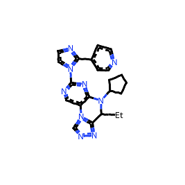 CCC1c2nncn2-c2cnc(-n3ccnc3-c3ccncc3)nc2N1C1CCCC1